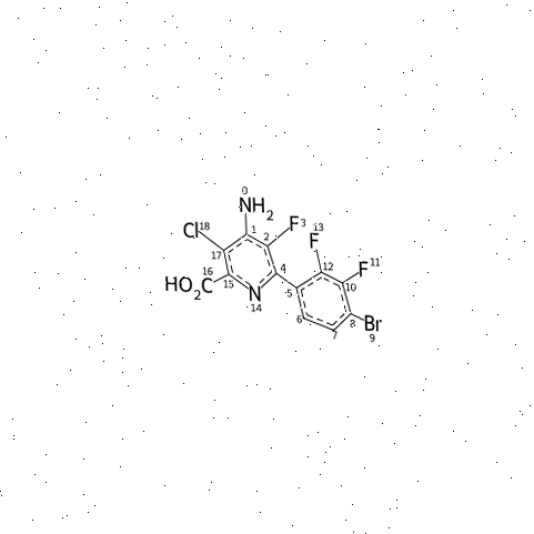 Nc1c(F)c(-c2ccc(Br)c(F)c2F)nc(C(=O)O)c1Cl